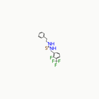 Fc1c(CNC(=S)NCCc2ccccc2)cccc1C(F)(F)F